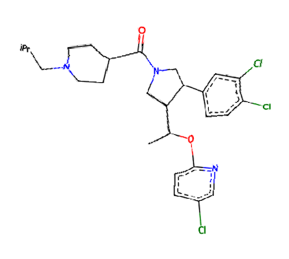 CC(C)CN1CCC(C(=O)N2CC(c3ccc(Cl)c(Cl)c3)C(C(C)Oc3ccc(Cl)cn3)C2)CC1